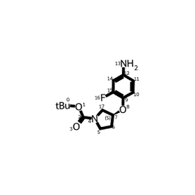 CC(C)(C)OC(=O)N1CC[C@H](Oc2ccc(N)cc2F)C1